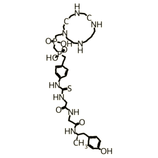 C[C@H](Cc1ccc(O)cc1)NC(=O)CNC(=O)CNC(=S)Nc1ccc(CP(=O)(O)CP(=O)(O)CN2CCCNCCNCCCNCC2)cc1